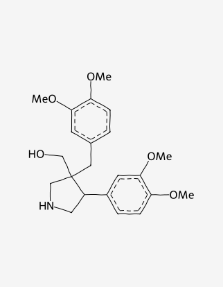 COc1ccc(CC2(CO)CNCC2c2ccc(OC)c(OC)c2)cc1OC